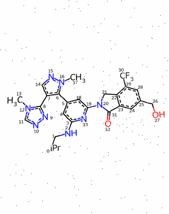 CC(C)CNc1cc(-c2c(-c3nncn3C)cnn2C)cc(N2Cc3c(cc(CO)cc3C(F)(F)F)C2=O)n1